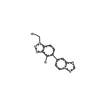 CC(C)(C)Cn1nnc2c(Br)c(-c3ccn4ncnc4c3)ccc21